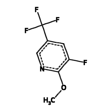 COc1ncc(C(F)(F)F)cc1F